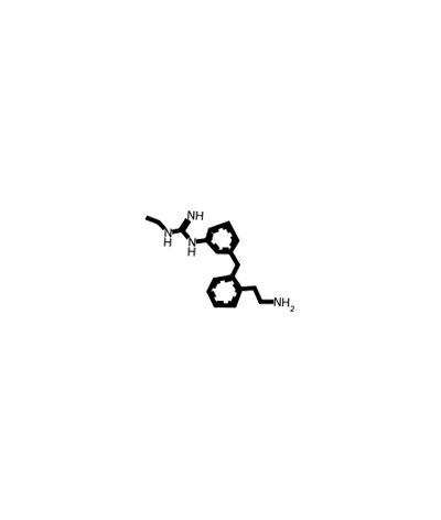 CCNC(=N)Nc1cccc(Cc2ccccc2CCN)c1